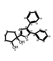 OC1CCCCC1(O)c1nc(-c2ccccc2)c(-c2ccccc2)o1